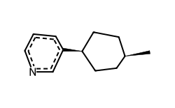 C[C@H]1CC[C@@H](c2cccnc2)CC1